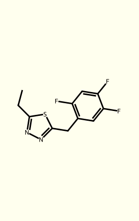 CCc1nnc(Cc2cc(F)c(F)cc2F)s1